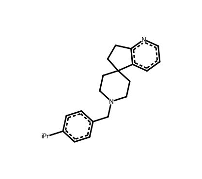 CC(C)c1ccc(CN2CCC3(CCc4ncccc43)CC2)cc1